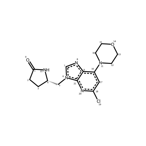 O=C1CC[C@@H](Cn2cnc3c(N4CCOCC4)cc(Cl)nc32)N1